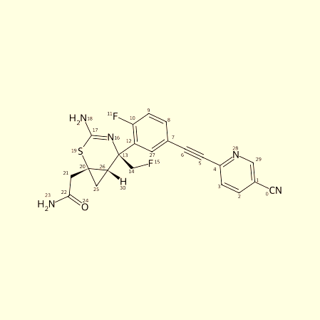 N#Cc1ccc(C#Cc2ccc(F)c([C@@]3(CF)N=C(N)S[C@@]4(CC(N)=O)C[C@H]43)c2)nc1